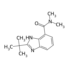 CN(C)C(=O)c1cccc2nc(C(C)(C)C)[nH]c12